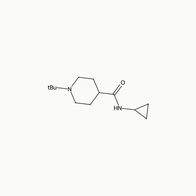 CC(C)(C)N1CCC(C(=O)NC2CC2)CC1